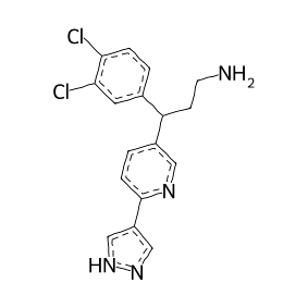 NCCC(c1ccc(-c2cn[nH]c2)nc1)c1ccc(Cl)c(Cl)c1